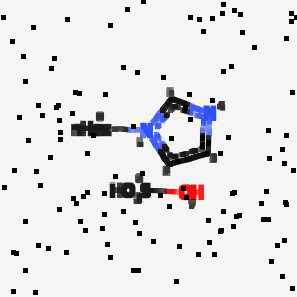 CCCCCCn1ccnc1.O=S(=O)(O)O